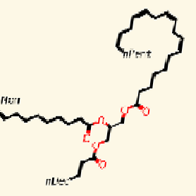 CCCCC/C=C\C/C=C\C/C=C\C/C=C\CCCCCC(=O)OC[C@@H](COC(=O)CCCCCCCCCCCC)OC(=O)CCCCCCC/C=C\CCCCCCCCC